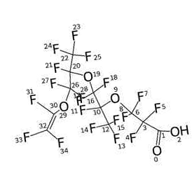 O=C(O)C(F)(F)C(F)(F)OC(F)(C(F)(F)F)C(F)(F)OC(F)(C(F)(F)F)C(F)(F)OC(F)=C(F)F